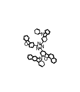 C1=CC(n2c3c(c4ccccc42)CCC(c2nc(-c4ccc5oc6ccccc6c5c4)nc(-c4cc(-n5c6c(c7cc8ccccc8cc75)C=CCC6)c5oc6c7ccccc7ccc6c5c4)n2)=C3)=CCC1